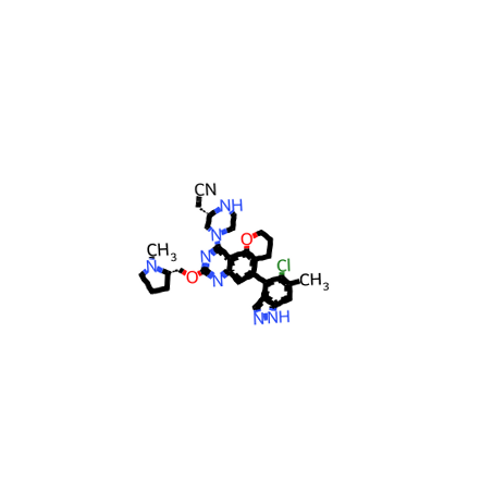 Cc1cc2[nH]ncc2c(-c2cc3nc(OC[C@@H]4CCCN4C)nc(N4CCN[C@@H](CC#N)C4)c3c3c2CCCO3)c1Cl